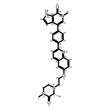 C[C@@H]1C(=O)N(C)CCN1CCOc1ccc2nc(-c3ccc(-c4cn(C)c(=O)c5[nH]ccc45)cc3)ccc2c1